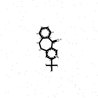 CC(C)(C)c1cc2c(cn1)C(=O)c1ccccc1CC2